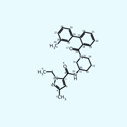 CCn1nc(C)cc1C(=O)N[C@@H]1CCCN(C(=O)c2ccccc2-c2cccc(C)c2)C1